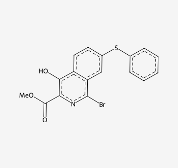 COC(=O)c1nc(Br)c2cc(Sc3ccccc3)ccc2c1O